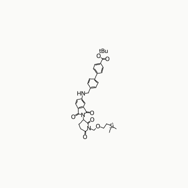 CC(C)(C)OC(=O)c1ccc(-c2ccc(CNc3ccc4c(c3)C(=O)N(C3CCC(=O)N(COCC[Si](C)(C)C)C3=O)C4=O)cc2)cc1